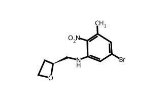 Cc1cc(Br)cc(NC[C@@H]2CCO2)c1[N+](=O)[O-]